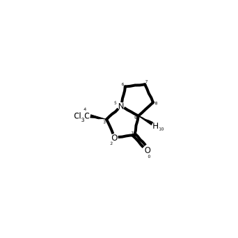 O=C1O[C@@H](C(Cl)(Cl)Cl)N2CCC[C@H]12